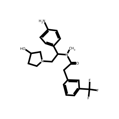 CN(C(=O)Cc1cccc(C(F)(F)F)c1)C(CN1CCC(O)C1)c1ccc(N)cc1